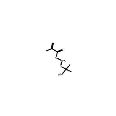 C=C(C)C(=O)O[SiH2]OC(C)(C)CCCC